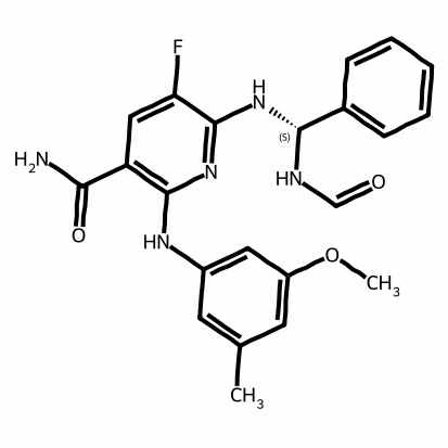 COc1cc(C)cc(Nc2nc(N[C@@H](NC=O)c3ccccc3)c(F)cc2C(N)=O)c1